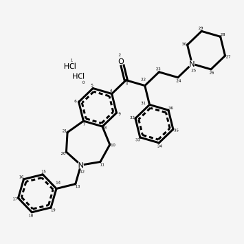 Cl.Cl.O=C(c1ccc2c(c1)CCN(Cc1ccccc1)CC2)C(CCN1CCCCC1)c1ccccc1